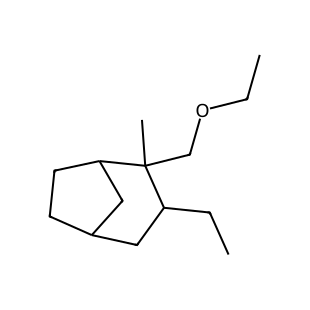 CCOCC1(C)C(CC)CC2CCC1C2